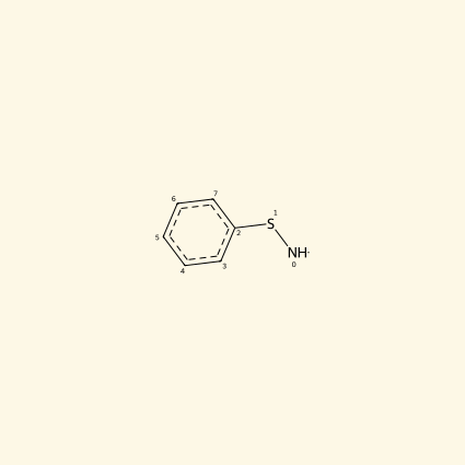 [NH]Sc1ccccc1